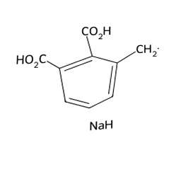 [CH2]c1cccc(C(=O)O)c1C(=O)O.[NaH]